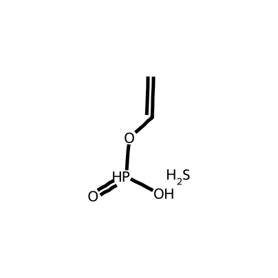 C=CO[PH](=O)O.S